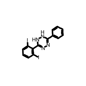 Ic1cccc(I)c1C1=NN=C(c2ccccc2)NN1